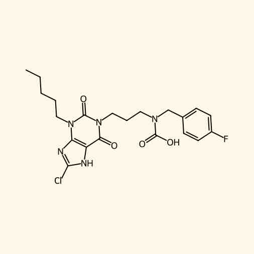 CCCCCn1c(=O)n(CCCN(Cc2ccc(F)cc2)C(=O)O)c(=O)c2[nH]c(Cl)nc21